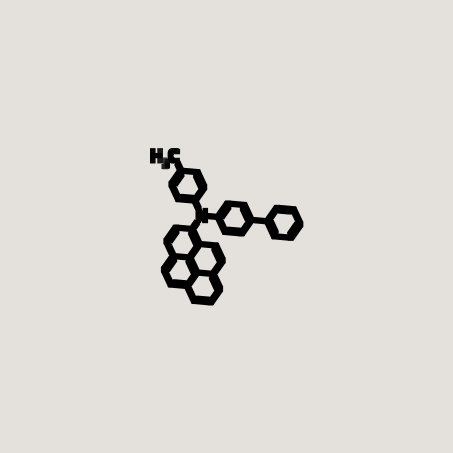 Cc1ccc(N(c2ccc(-c3ccccc3)cc2)c2ccc3ccc4cccc5ccc2c3c45)cc1